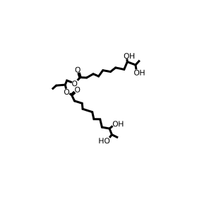 CCC(COC(=O)CCCCCCCC(O)C(C)O)OC(=O)CCCCCCCC(O)C(C)O